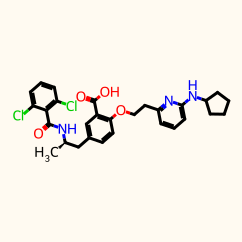 C[C@H](Cc1ccc(OCCc2cccc(NC3CCCC3)n2)c(C(=O)O)c1)NC(=O)c1c(Cl)cccc1Cl